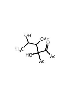 CC(=O)OC(C(C)O)C(O)(C(C)=O)C(=O)C(C)=O